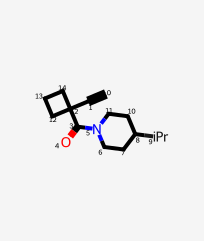 C#CC1(C(=O)N2CCC(C(C)C)CC2)CCC1